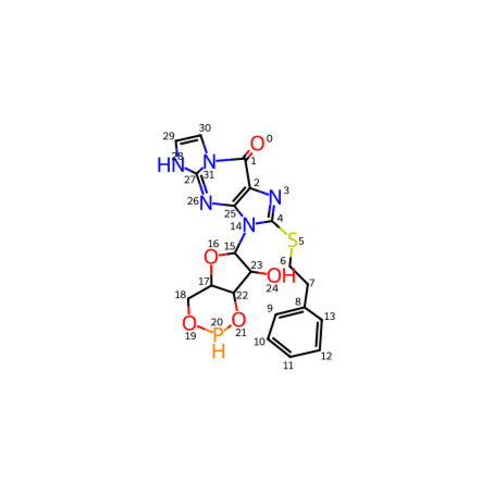 O=c1c2nc(SCCc3ccccc3)n(C3OC4COPOC4C3O)c2nc2[nH]ccn12